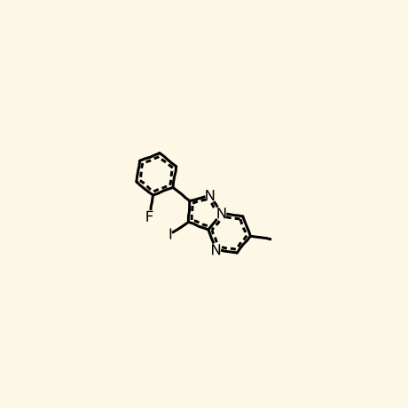 Cc1cnc2c(I)c(-c3ccccc3F)nn2c1